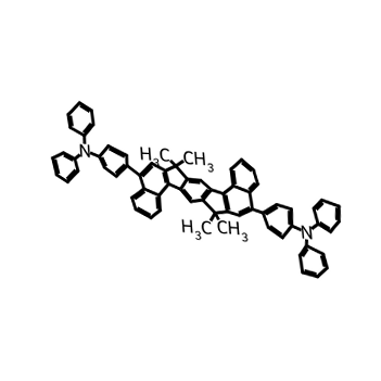 CC1(C)c2cc3c(cc2-c2c1cc(-c1ccc(N(c4ccccc4)c4ccccc4)cc1)c1ccccc21)C(C)(C)c1cc(-c2ccc(N(c4ccccc4)c4ccccc4)cc2)c2ccccc2c1-3